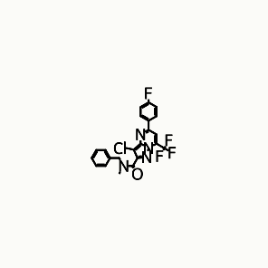 CN(Cc1ccccc1)C(=O)c1nn2c(C(F)(F)F)cc(-c3ccc(F)cc3)nc2c1Cl